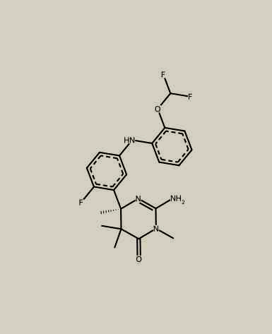 CN1C(=O)C(C)(C)[C@@](C)(c2cc(Nc3ccccc3OC(F)F)ccc2F)N=C1N